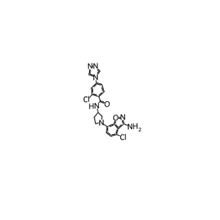 Nc1noc2c(N3CCC(NC(=O)c4ccc(-n5cnnc5)cc4Cl)C3)ccc(Cl)c12